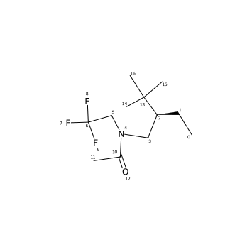 CC[C@@H](CN(CC(F)(F)F)C(C)=O)C(C)(C)C